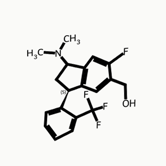 CN(C)C1C[C@H](c2ccccc2C(F)(F)F)c2cc(CO)c(F)cc21